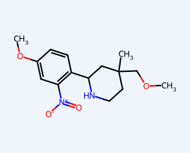 COCC1(C)CCNC(c2ccc(OC)cc2[N+](=O)[O-])C1